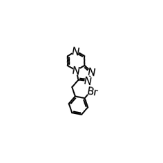 Brc1ccccc1Cc1nnc2cnccn12